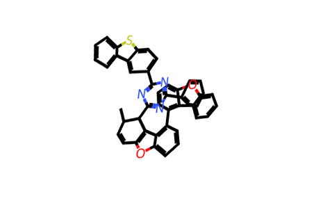 CC1C=Cc2oc3cccc(-c4cccc5oc6ccccc6c45)c3c2C1c1nc(-c2ccccc2)nc(-c2ccc3sc4ccccc4c3c2)n1